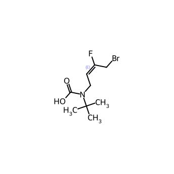 CC(C)(C)N(C/C=C(/F)CBr)C(=O)O